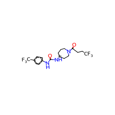 O=C(Nc1ccc(C(F)(F)F)cc1)N[C@@H]1CCCN(C(=O)CCC(F)(F)F)CC1